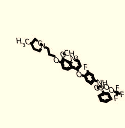 COc1c(OCCCN2CCC(C)CC2)ccc2c(Oc3ccc(NS(=O)(=O)c4ccccc4OC(F)(F)F)cc3F)ccnc12